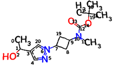 CC(O)c1cnn(C2CC(N(C)C(=O)OC(C)(C)C)C2)c1